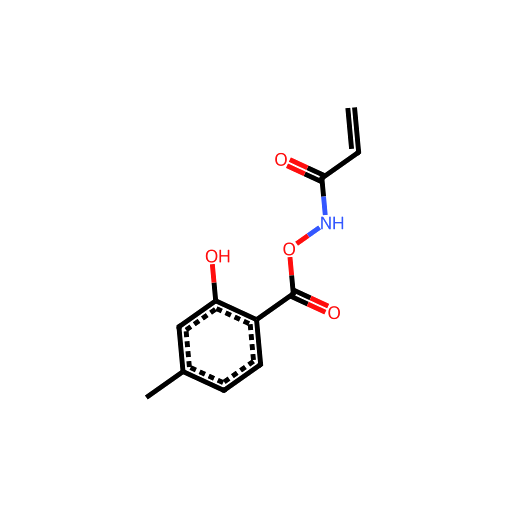 C=CC(=O)NOC(=O)c1ccc(C)cc1O